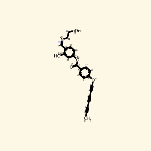 CC#CC#CC#COc1ccc(C(=O)Oc2ccc(/C=N\CCCCCCCCCCCC)c(O)c2)cc1